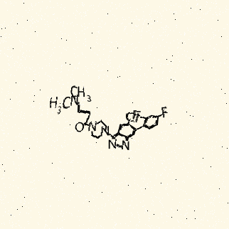 CN(C)C/C=C/C(=O)N1CCN(c2ncnc3cc(-c4ccc(F)cc4F)c(Cl)cc23)CC1